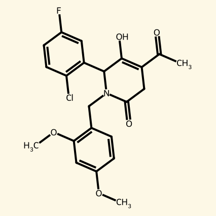 COc1ccc(CN2C(=O)CC(C(C)=O)=C(O)C2c2cc(F)ccc2Cl)c(OC)c1